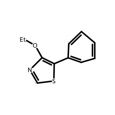 CCOc1n[c]sc1-c1ccccc1